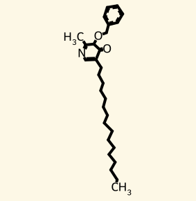 CCCCCCCCCCCCCCCCC1=CN=C(C)C(OCc2ccccc2)C1=O